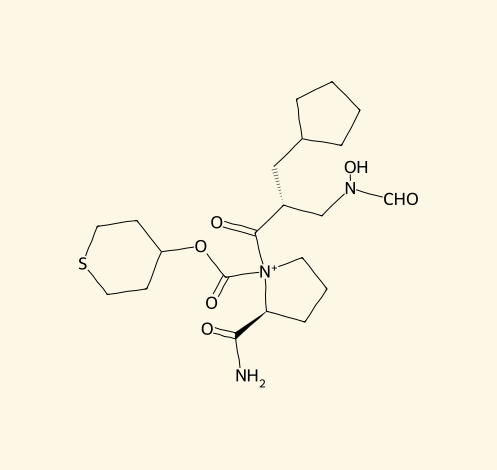 NC(=O)[C@@H]1CCC[N+]1(C(=O)OC1CCSCC1)C(=O)[C@H](CC1CCCC1)CN(O)C=O